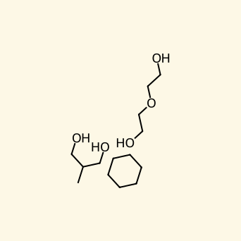 C1CCCCC1.CC(CO)CO.OCCOCCO